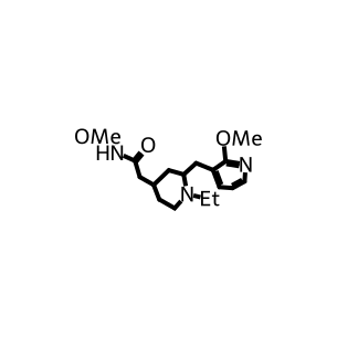 CCN1CCC(CC(=O)NOC)CC1Cc1cccnc1OC